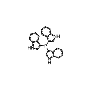 c1ccc2c(P(c3c[nH]c4ccccc34)c3c[nH]c4ccccc34)c[nH]c2c1